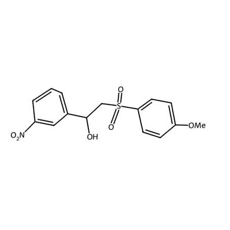 COc1ccc(S(=O)(=O)CC(O)c2cccc([N+](=O)[O-])c2)cc1